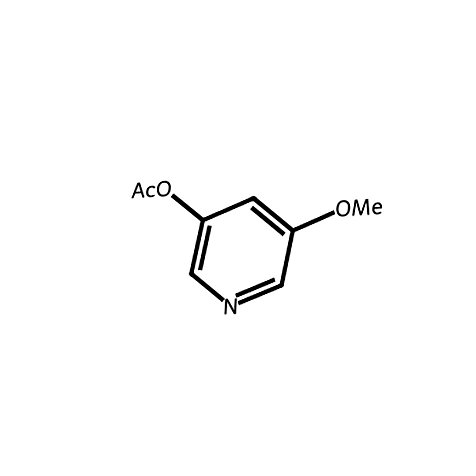 COc1cncc(OC(C)=O)c1